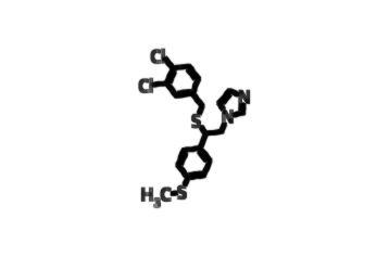 CSc1ccc(C(Cn2ccnc2)SCc2ccc(Cl)c(Cl)c2)cc1